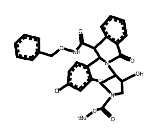 CC(C)(C)OC(=O)N1CC(O)C(N2C(=O)c3ccccc3C(C(=O)NOCc3ccccc3)C2c2ccc(Cl)cc2Cl)C1